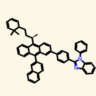 C[C@H](CCC1C=CC=CC1(C)C)c1c2ccccc2c(-c2ccc3ccccc3c2)c2cc(-c3ccc(-c4nc5ccccc5n4-c4ccccc4)cc3)ccc12